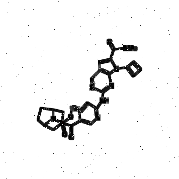 CNC(=O)c1cc2cnc(Nc3ccc(C(=O)N4CC5CCC(C4)N5C(=O)OC(C)(C)C)cn3)nc2n1C1=CC=C1